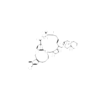 C=C/C(Cl)=C\C1=C(/C)COc2ccc3nc2N(CCCC1)C[C@@H]1CC[C@H]1[C@@](CN1CCN2CCOC[C@@H]2C1)(OC)/C=C/C[C@H](C)[C@@H](C)S(=O)(=O)NC3=O